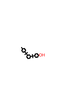 Cc1ccc(C(C)(C)c2cccc(C(C)(C)c3ccc(O)cc3)c2)cc1